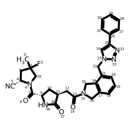 CC1(F)C[C@@H](C#N)N(C(=O)[C@@H]2C[C@@H](CC(=O)N3Cc4cccc(Cn5cc(-c6ccccc6)nn5)c4C3)C(=O)N2)C1